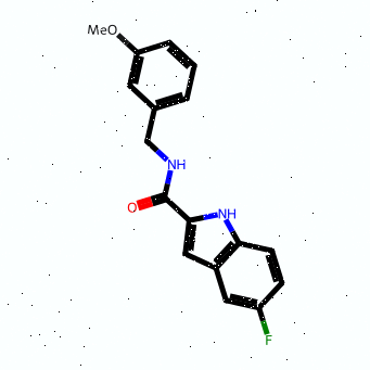 COc1cccc(CNC(=O)c2cc3cc(F)ccc3[nH]2)c1